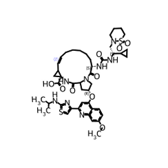 COc1ccc2c(O[C@@H]3CC4C(=O)N[C@]5(C(=O)O)CC5/C=C\CCCCC[C@H](NC(=O)N[C@H](CN5CCCCS5(=O)=O)C5CC5)C(=O)N4C3)cc(-c3csc(NC(C)C)n3)nc2c1